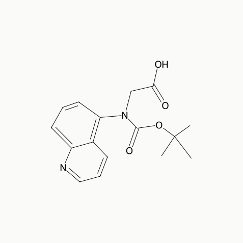 CC(C)(C)OC(=O)N(CC(=O)O)c1cccc2ncccc12